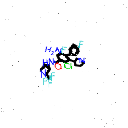 CN1CCCC(C2=C(c3ccc(F)cc3)C(N)(F)CC(C(=O)Nc3ccnc(C(F)(F)F)c3)=C2Cl)C1